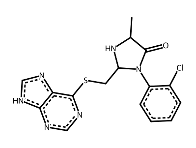 CC1NC(CSc2ncnc3[nH]cnc23)N(c2ccccc2Cl)C1=O